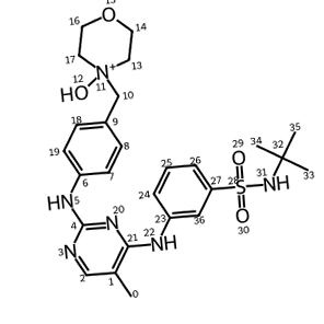 Cc1cnc(Nc2ccc(C[N+]3(O)CCOCC3)cc2)nc1Nc1cccc(S(=O)(=O)NC(C)(C)C)c1